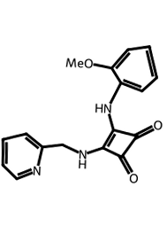 COc1ccccc1Nc1c(NCc2ccccn2)c(=O)c1=O